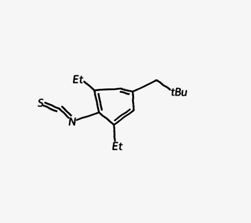 CCc1cc(CC(C)(C)C)cc(CC)c1N=C=S